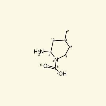 CC1CCN(C(=O)O)C(N)C1